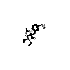 CCOC(=O)C(Cc1cccc(NS)c1)(NC(C)=O)C(=O)OCC